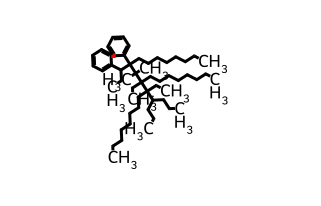 CCCCCCCCC(CC)([C](CCC)CCC)C(CC)(CCCCCCCC)C(C)(C)C(CCCCCCCC)(c1ccccc1)C(CC)c1ccccc1